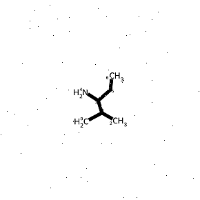 [CH2]C(C)C(N)CC